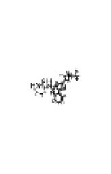 O=C1NCCCC[C@H]1Nc1nc2ccccc2c2nc(-c3cnn(C(F)F)c3)nn12